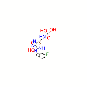 N=C(c1nonc1SCCNC(=O)[C@H](O)CO)N(O)[C@H]1Cc2ccc(F)cc21